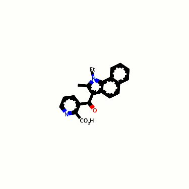 CCn1c(C)c(C(=O)c2cccnc2C(=O)O)c2ccc3ccccc3c21